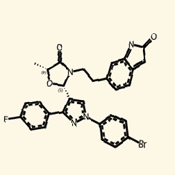 C[C@H]1O[C@@H](c2cn(-c3ccc(Br)cc3)nc2-c2ccc(F)cc2)N(CCc2ccc3c(c2)=NC(=O)C=3)C1=O